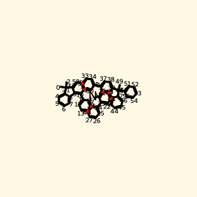 CC1(C)c2ccccc2-c2c(-c3ccccc3N(c3ccccc3-c3ccccc3)c3ccccc3-c3ccc4c(c3)-c3ccccc3C4(C)c3ccccc3)cccc21